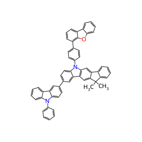 CC1(C)c2ccccc2-c2cc3c(cc21)c1cc(-c2ccc4c(c2)c2ccccc2n4-c2ccccc2)ccc1n3-c1ccc(-c2cccc3c2oc2ccccc23)cc1